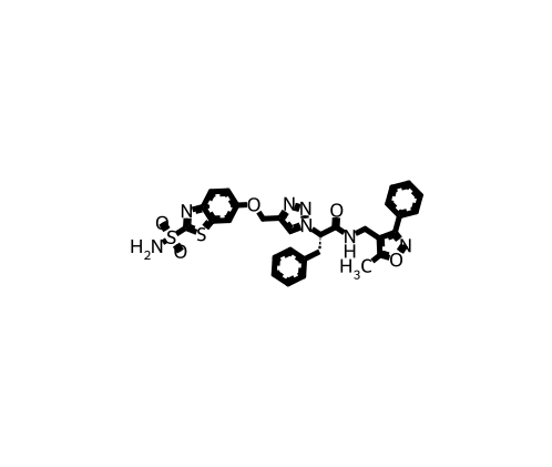 Cc1onc(-c2ccccc2)c1CNC(=O)[C@H](Cc1ccccc1)n1cc(COc2ccc3nc(S(N)(=O)=O)sc3c2)nn1